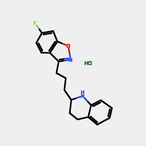 Cl.Fc1ccc2c(CCCC3CCc4ccccc4N3)noc2c1